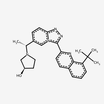 C[C@H](c1ccc2nnc(-c3ccc4cccc(C(C)(C)C)c4n3)n2c1)N1CC[C@@H](O)C1